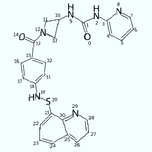 O=C(Nc1ccccn1)NC1CN(C(=O)c2ccc(NSc3cccc4cccnc34)cc2)C1